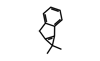 CC1(C)C2=C1c1ccccc1[CH]2